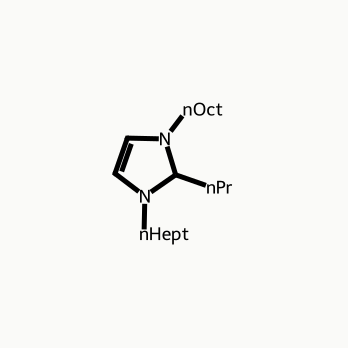 CCCCCCCCN1C=CN(CCCCCCC)C1CCC